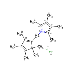 CC1=C(C)C(C)(C)[C]([Zr+2][n]2c(C)c(C)c(C)c2C)=C1C.[Cl-].[Cl-]